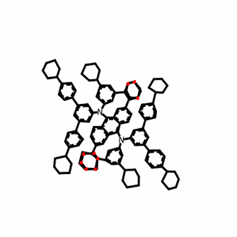 c1cc(C2CCCCC2)ccc1-c1cc(-c2ccc(C3CCCCC3)cc2)cc(N(c2cc(C3CCCCC3)cc(C3CCCCC3)c2)c2c3ccc(C4CCCCC4)cc3c(N(c3cc(-c4ccc(C5CCCCC5)cc4)cc(-c4ccc(C5CCCCC5)cc4)c3)c3cc(C4CCCCC4)cc(C4CCCCC4)c3)c3ccc(C4CCCCC4)cc23)c1